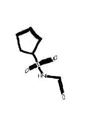 O=[C]NS(=O)(=O)C1CCCC1